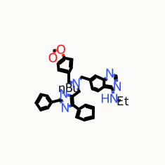 CCCCn1c(-c2ccccc2)nc(-c2ccccc2)c1CN(Cc1ccc2c(c1)OCO2)Cc1ccc2c(NCC)ncnc2c1